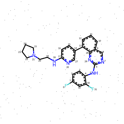 Fc1ccc(Nc2ncc3cccc(-c4ccc(NCCN5CCCC5)nc4)c3n2)c(F)c1